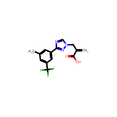 C=C(Cn1cnc(-c2cc(C)cc(C(F)(F)F)c2)n1)C(=O)O